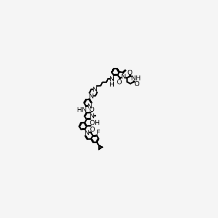 C=C1c2cccc(NCCCCCN3CCN(c4ccc(Nc5cc(-c6cccc(-n7ccc8cc(C9CC9)cc(F)c8c7=O)c6CO)cn(C)c5=O)nc4)CC3)c2C(=O)N1C1CCC(=O)NC1=O